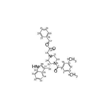 Cc1cc(C)cc(C(=O)N2CCN(CC(=O)OCc3ccccc3)C[C@H]2Cc2c[nH]c3ccccc23)c1